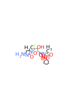 CC(N[P@](=O)(OC[C@H]1O[C@@H](n2ccc(N)nc2=O)[C@](C)(F)[C@@H]1O)Oc1ccccc1)C(=O)O